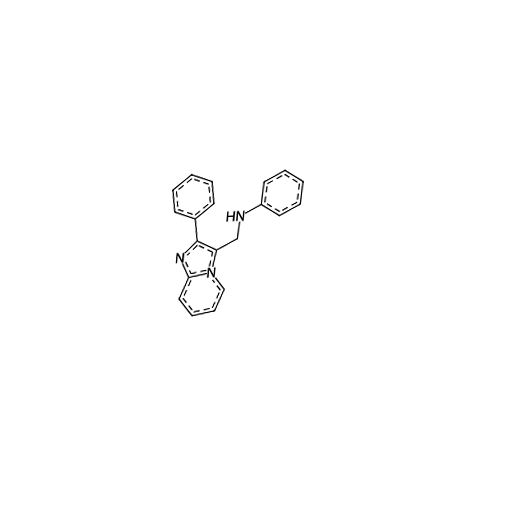 c1ccc(NCc2c(-c3ccccc3)nc3ccccn23)cc1